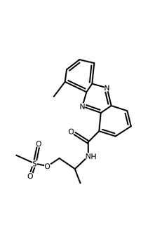 Cc1cccc2nc3cccc(C(=O)NC(C)COS(C)(=O)=O)c3nc12